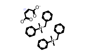 C[N+](C)(Cc1ccccc1)c1ccccc1.C[N+](C)(Cc1ccccc1)c1ccccc1.O=C([O-])/C=C\C(=O)[O-]